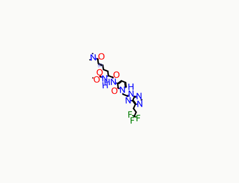 COC(=O)NC(CC/C=C/C(=O)N(C)C)C(=O)Nc1cccn(Cc2nc3c(CCC(F)(F)F)ncnc3[nH]2)c1=O